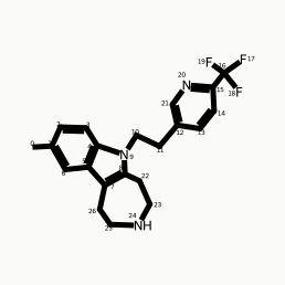 Cc1ccc2c(c1)c1c(n2CCc2ccc(C(F)(F)F)nc2)CCNCC1